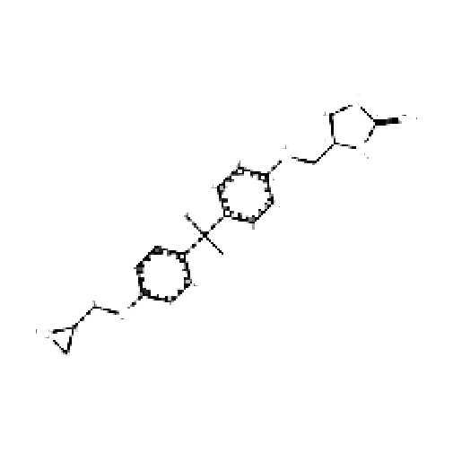 CC(C)(c1ccc(OCC2CO2)cc1)c1ccc(OCC2CSC(=O)O2)cc1